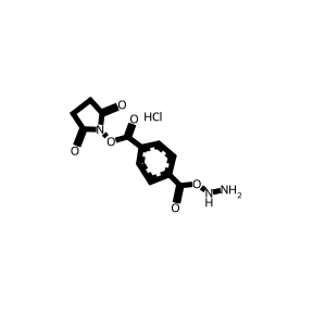 Cl.NNOC(=O)c1ccc(C(=O)ON2C(=O)CCC2=O)cc1